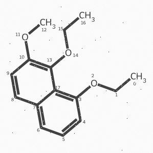 CCOc1cccc2ccc(OC)c(OCC)c12